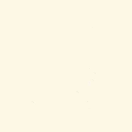 CN(/N=C/[C@@H]1C[C@H](S)CN1C(=O)OCc1ccc([N+](=O)[O-])cc1)C(=O)OCc1ccc([N+](=O)[O-])cc1